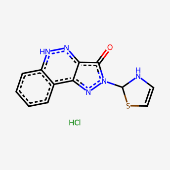 Cl.O=c1c2n[nH]c3ccccc3c-2nn1C1NC=CS1